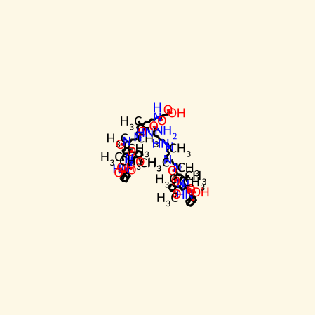 COc1cccc(OC)c1-c1cc(C(=O)NC2(C(=O)O)C3CC4CC(C3)CC2C4)nn1-c1ccc(C(=O)N(C)CCCN(C)CCCC(C)C(CCCCNC(=O)CCC(=O)O)C(=O)CNC(CCCCNCN(C)CCCN(C)CCCN(C)C(=O)c2ccc(-n3nc(C(=O)NC4(C(=O)O)C5CC6CC(C5)CC4C6)cc3-c3c(OC)cccc3OC)c(C(C)C)c2)C(N)=O)cc1C(C)C